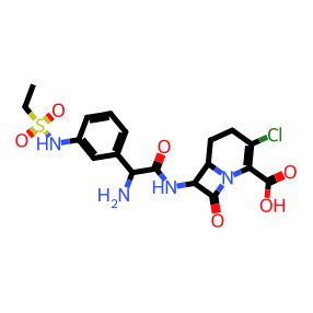 CCS(=O)(=O)Nc1cccc(C(N)C(=O)NC2C(=O)N3C(C(=O)O)=C(Cl)CCC23)c1